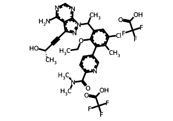 CCOc1c(C(C)n2nc(C#C[C@H](C)O)c3c(N)ncnc32)cc(Cl)c(C)c1-c1ccc(C(=O)N(C)C)nc1.O=C(O)C(F)(F)F.O=C(O)C(F)(F)F